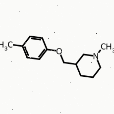 Cc1ccc(OCC2CCCN(C)C2)cc1